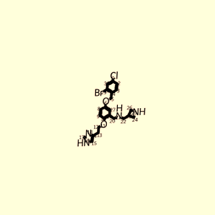 Clc1ccc(COc2ccc(OCCc3c[nH]cn3)c(CNCC3CNC3)c2)c(Br)c1